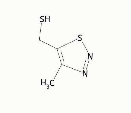 Cc1nnsc1CS